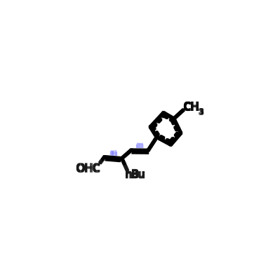 CCCCC(/C=C/c1ccc(C)cc1)=C\C=O